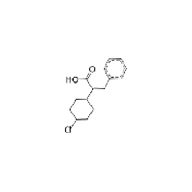 O=C(O)C(=Cc1ccccc1)C1CCC(Cl)CC1